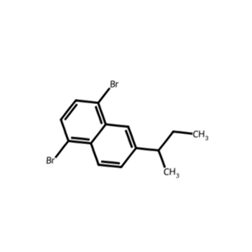 CCC(C)c1ccc2c(Br)ccc(Br)c2c1